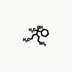 CCCC(CCN)C(C)(O)C1CCCCC1